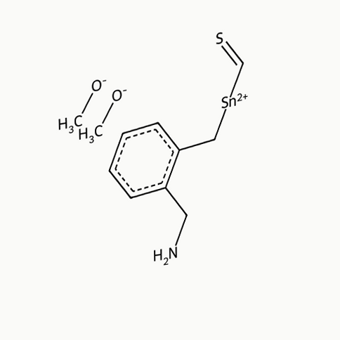 C[O-].C[O-].NCc1ccccc1[CH2][Sn+2][CH]=S